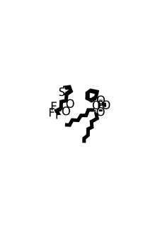 CCCCCCCCOP(=O)(OCCCCCCCC)Oc1ccccc1.O=C(CC(=O)C(F)(F)F)c1cccs1